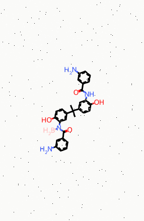 BN(C(=O)c1cccc(N)c1)c1cc(C(C)(C)c2ccc(O)c(NC(=O)c3cccc(N)c3)c2)ccc1O